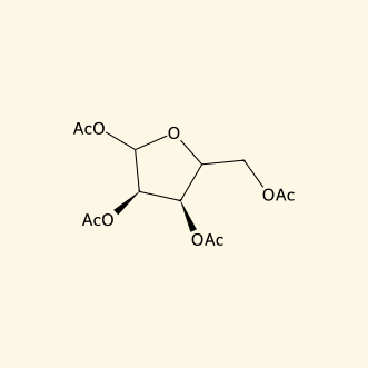 CC(=O)OCC1OC(OC(C)=O)[C@H](OC(C)=O)[C@@H]1OC(C)=O